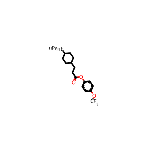 CCCCCC1CCC(CCC(=O)Oc2ccc(OC(F)(F)F)cc2)CC1